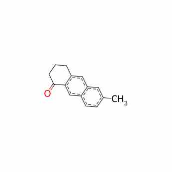 Cc1ccc2cc3c(cc2c1)CCCC3=O